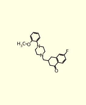 COc1ccccc1N1CCN(CC2CC(=O)c3ccc(F)cc3C2)CC1